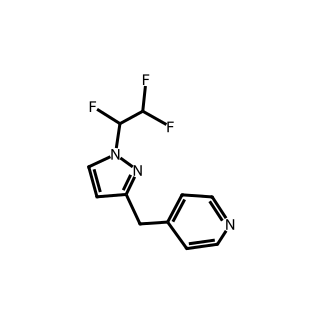 FC(F)C(F)n1ccc(Cc2ccncc2)n1